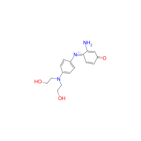 NC1=CC(=O)C=C/C1=N\c1ccc(N(CCO)CCO)cc1